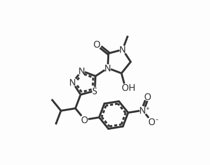 CC(C)C(Oc1ccc([N+](=O)[O-])cc1)c1nnc(N2C(=O)N(C)CC2O)s1